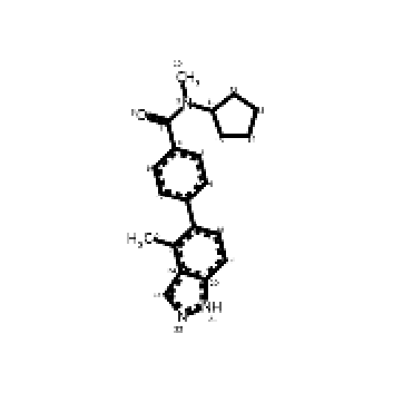 Cc1c(-c2ccc(C(=O)N(C)C3CCCC3)cc2)ccc2[nH]ncc12